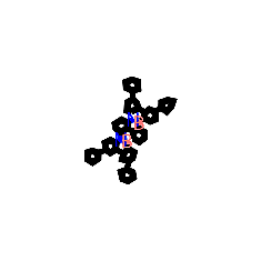 c1ccc(-c2ccc3c(c2)-c2cc(-c4ccccc4)ccc2N2B3c3cccc4c3-c3c2cccc3N2B4c3ccc(-c4ccccc4)cc3-c3cc(-c4ccccc4)ccc32)cc1